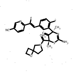 C=C1[C@@](C)(C(=O)N2CCC3(CCO3)C2)SC(N)=N[C@]1(C)c1cc(/C=C(\F)c2ccc(C#N)cn2)ccc1F